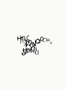 COc1ccc(-n2c(CC(C)N)c(F)c3c(NCc4cccs4)nc(Cl)nc32)cc1.Cl